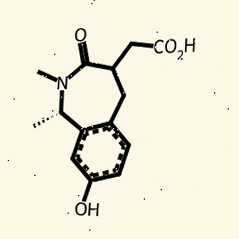 C[C@H]1c2cc(O)ccc2CC(CC(=O)O)C(=O)N1C